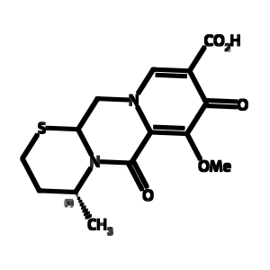 COc1c2n(cc(C(=O)O)c1=O)CC1SCC[C@@H](C)N1C2=O